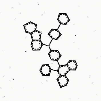 c1ccc(-c2ccc(N(c3ccc(-c4c(-c5ccccc5)c5ccccc5c5ccccc45)cc3)c3cccc4c3sc3ccccc34)cc2)cc1